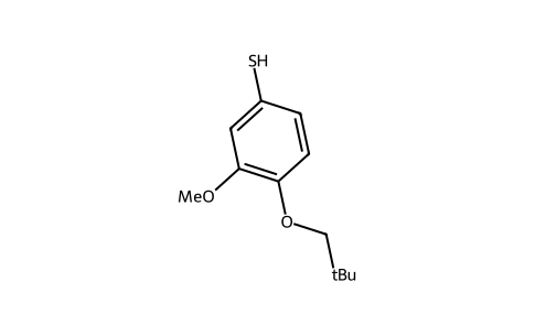 COc1cc(S)ccc1OCC(C)(C)C